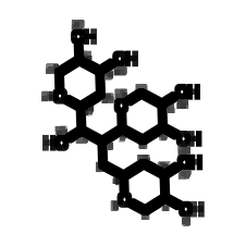 OC1COC(CC(C2CC(O)C(O)CO2)C(O)C2CC(O)C(O)CO2)CC1O